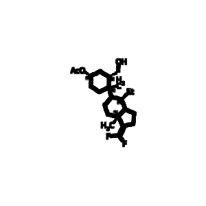 CC[C@H]1C2CCC(=C(F)F)[C@@]2(C)CCC1[C@@]1(C)CC[C@H](OC(C)=O)C[C@@H]1CO